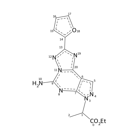 CCOC(=O)C(C)n1ncc2c1nc(N)n1nc(-c3ccco3)nc21